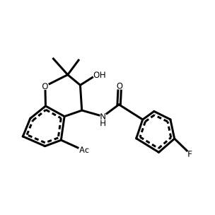 CC(=O)c1cccc2c1C(NC(=O)c1ccc(F)cc1)C(O)C(C)(C)O2